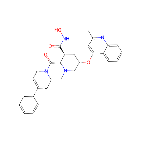 Cc1cc(O[C@H]2C[C@H](C(=O)NO)[C@@H](C(=O)N3CC=C(c4ccccc4)CC3)N(C)C2)c2ccccc2n1